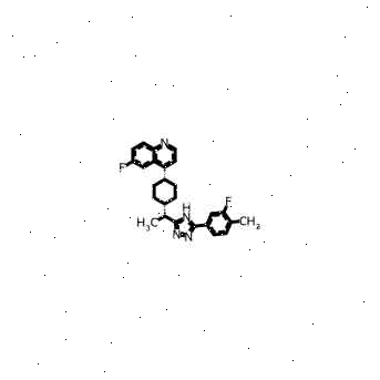 Cc1ccc(-c2nnc(C(C)[C@H]3CC[C@@H](c4ccnc5ccc(F)cc54)CC3)[nH]2)cc1F